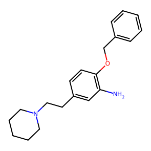 Nc1cc(CCN2CCCCC2)ccc1OCc1ccccc1